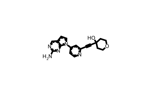 Nc1ncc2ccn(-c3ccnc(C#CC4(O)CCOCC4)c3)c2n1